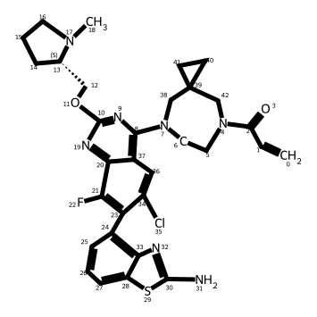 C=CC(=O)N1CCN(c2nc(OC[C@@H]3CCCN3C)nc3c(F)c(-c4cccc5sc(N)nc45)c(Cl)cc23)CC2(CC2)C1